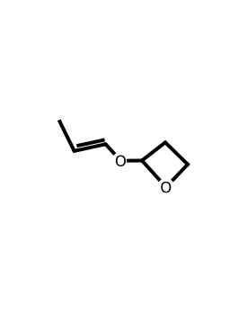 CC=COC1CCO1